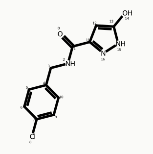 O=C(NCc1ccc(Cl)cc1)c1cc(O)[nH]n1